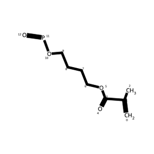 C=C(C)C(=O)OCCCCOP=O